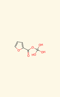 O=C(O[Si](O)(O)O)c1ccco1